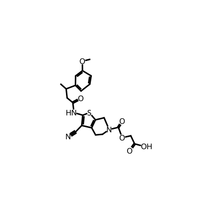 COc1cccc(C(C)CC(=O)Nc2sc3c(c2C#N)CCN(C(=O)OCC(=O)O)C3)c1